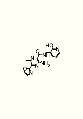 Cc1nc(C(=O)NCc2cccnc2O)c(N)nc1-c1ncco1